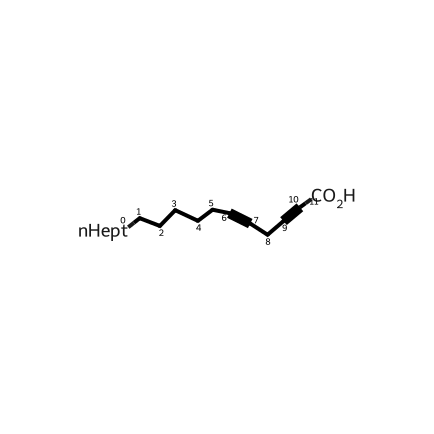 CCCCCCCCCCCCC#CCC#CC(=O)O